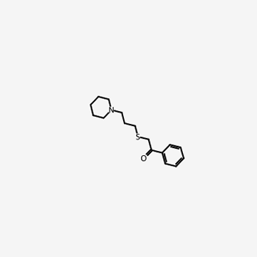 O=C(CSCCCN1CCCCC1)c1ccccc1